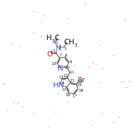 CCN(CC)C(=O)c1ccc(Cc2c[nH]c3cccc(Br)c23)nc1